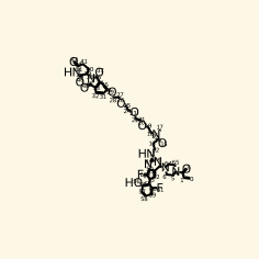 C=CC(=O)N1CCN(c2nc(NCCC(=O)N(C)CCOCCOCCOCCOc3ccc4c(c3)C(=O)N(C3CCC(=O)NC3=O)C4=O)nc3c2=CC(c2c(O)cccc2F)C=3F)CC1